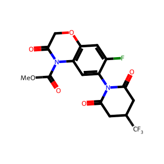 COC(=O)N1C(=O)COc2cc(F)c(N3C(=O)CC(C(F)(F)F)CC3=O)cc21